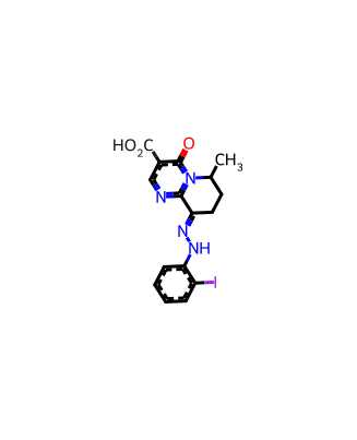 CC1CCC(=NNc2ccccc2I)c2ncc(C(=O)O)c(=O)n21